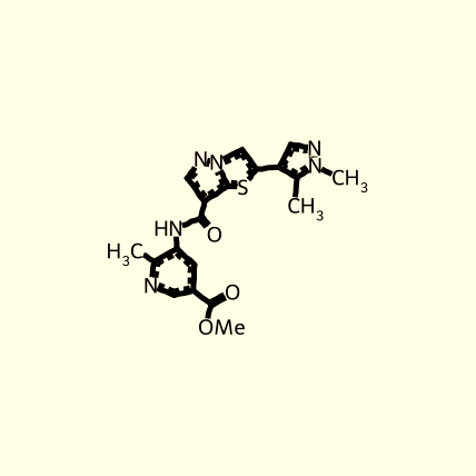 COC(=O)c1cnc(C)c(NC(=O)c2cnn3cc(-c4cnn(C)c4C)sc23)c1